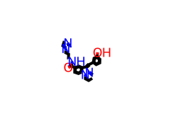 C=NN(/C=C\C)c1ccc(C(=O)NCCCn2ccnc2)cc1C#Cc1cccc(O)c1